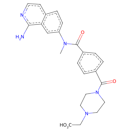 CN(C(=O)c1ccc(C(=O)N2CCN(CC(=O)O)CC2)cc1)c1ccc2ccnc(N)c2c1